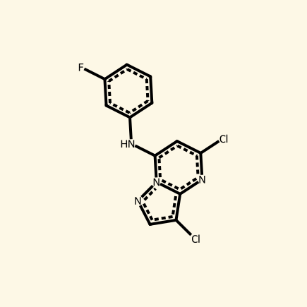 Fc1cccc(Nc2cc(Cl)nc3c(Cl)cnn23)c1